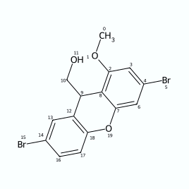 COc1cc(Br)cc2c1C(CO)c1cc(Br)ccc1O2